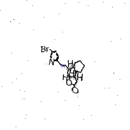 O=C1C[C@H]2[C@@H]3CCCC[C@H]3[C@H](/C=C/c3ccc(Br)cn3)C[C@H]2O1